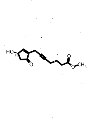 COC(=O)CCCC#CCC1=C[C@H](O)CC1=O